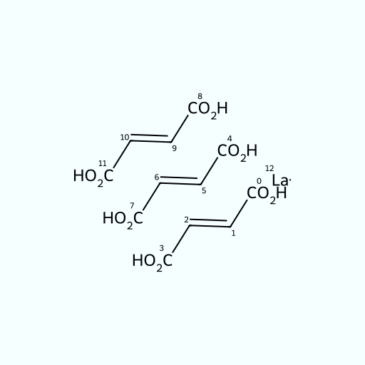 O=C(O)C=CC(=O)O.O=C(O)C=CC(=O)O.O=C(O)C=CC(=O)O.[La]